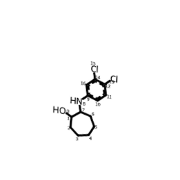 OC1CCCCCC1Nc1ccc(Cl)c(Cl)c1